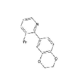 CC(C)c1cccnc1-c1ccc2c(c1)OCCO2